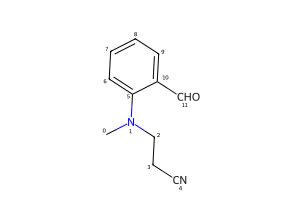 CN(CCC#N)c1ccccc1C=O